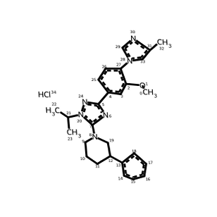 COc1cc(-c2nc(N3CCCC(c4ccccc4)C3)n(C(C)C)n2)ccc1-n1cnc(C)c1.Cl